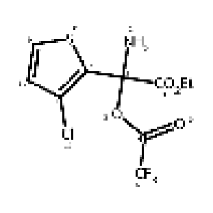 CCOC(=O)C(N)(OC(=O)C(F)(F)F)c1sccc1Cl